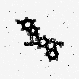 CCN(C)c1cccnc1N1CCN(c2cc3ccc(F)cc3[nH]2)C(C=O)C1